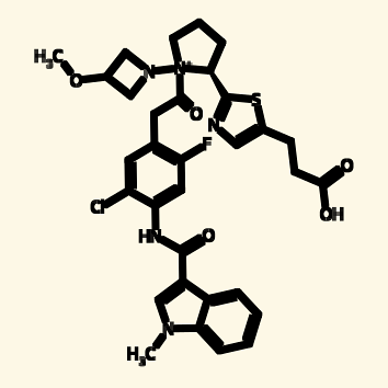 COC1CN([N+]2(C(=O)Cc3cc(Cl)c(NC(=O)c4cn(C)c5ccccc45)cc3F)CCC[C@H]2c2ncc(CCC(=O)O)s2)C1